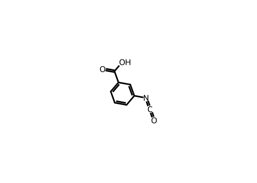 O=C=Nc1cccc(C(=O)O)c1